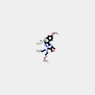 CCCN(C/C=N/OC)c1c2c(nc3c(-c4ccc(OC)cc4C)c(C)nn13)COC2.Cl